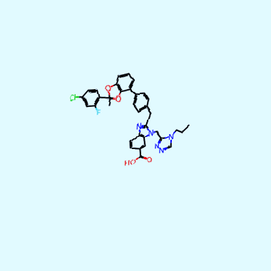 CCCn1cnnc1Cn1c(Cc2ccc(-c3cccc4c3OC(C)(c3ccc(Cl)cc3F)O4)cc2)nc2ccc(C(=O)O)cc21